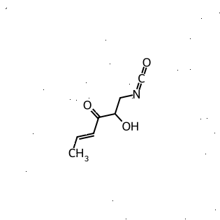 CC=CC(=O)C(O)CN=C=O